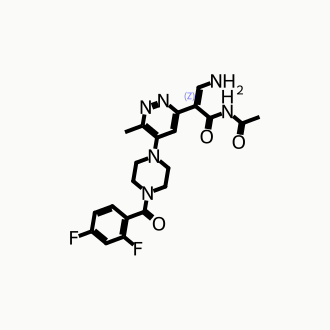 CC(=O)NC(=O)/C(=C\N)c1cc(N2CCN(C(=O)c3ccc(F)cc3F)CC2)c(C)nn1